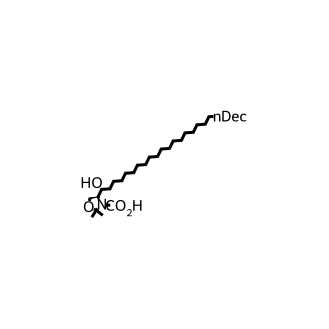 CCCCCCCCCCCCCCCCCCCCCCCCCCCC[C@@H](O)[C@@H]1COC(C)(C)N1C(=O)O